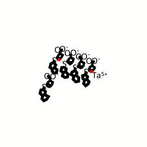 O=C([O-])C1CC2CC(Sc3ccc4ccccc4c3)C1C2.O=C([O-])C1CC2CC(Sc3ccc4ccccc4c3)C1C2.O=C([O-])C1CC2CC(Sc3ccc4ccccc4c3)C1C2.O=C([O-])C1CC2CC(Sc3ccc4ccccc4c3)C1C2.O=C([O-])C1CC2CC(Sc3ccc4ccccc4c3)C1C2.[Ta+5]